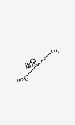 CCCCCCCCC=CCCCCCCCC(=O)O.O=C([O-])c1ccccc1O.[Na+]